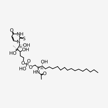 CCCCCCCCCCCCCCC[C@@H](O)[C@H](COP(=O)(O)OCCC(O)[C@@](C)(O)[C@@H](O)n1ccc(=O)[nH]c1=S)NC(C)=O